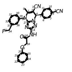 CC1=C(C#N)[C@@H](c2ccc(C#N)cc2)n2nc(NC(=O)COc3ccccc3)nc2N1c1cccc(CF)c1